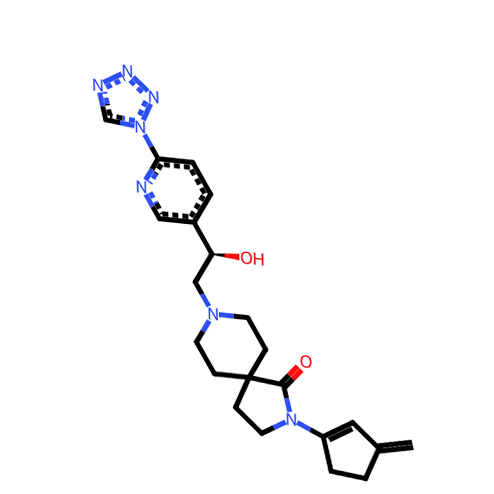 C=C1C=C(N2CCC3(CCN(C[C@H](O)c4ccc(-n5cnnn5)nc4)CC3)C2=O)CC1